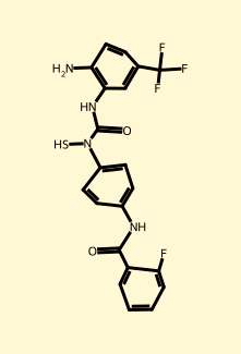 Nc1ccc(C(F)(F)F)cc1NC(=O)N(S)c1ccc(NC(=O)c2ccccc2F)cc1